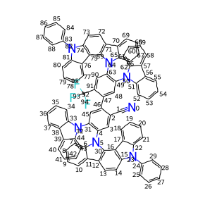 N#Cc1cc(-n2c3ccccc3c3ccc4c(c5ccccc5n4-c4ccccc4)c32)c(-n2c3ccccc3c3ccccc32)cc1-c1cc(-n2c3ccccc3c3ccccc32)c(-n2c3ccccc3c3ccc4c(c5ccccc5n4-c4ccccc4)c32)cc1C(F)(F)F